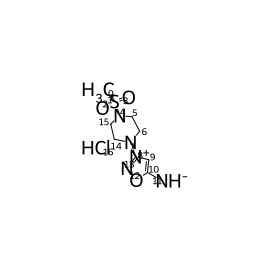 CS(=O)(=O)N1CCN([n+]2cc([NH-])on2)CC1.Cl